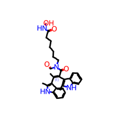 C/C(=C(\C(=O)N(C=O)CCCCCCC(=O)NO)c1c(C)[nH]c2ccccc12)c1c(C)[nH]c2ccccc12